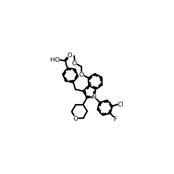 COCOc1cccc2c1c(Cc1ccc(C(=O)O)cc1)c(C1CCOCC1)n2-c1ccc(F)c(Cl)c1